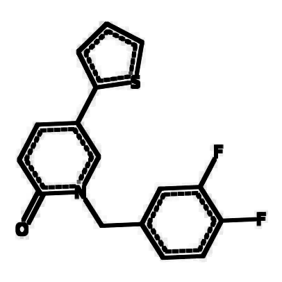 O=c1ccc(-c2cccs2)cn1Cc1ccc(F)c(F)c1